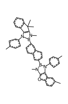 Cc1ccc(N2B(c3ccc4cc(B5N(C)c6oc7ccc(C)cc7c6N5c5ccc(C)cc5)ccc4c3)N(C)C3=C2c2ccccc2C3(C)C)cc1